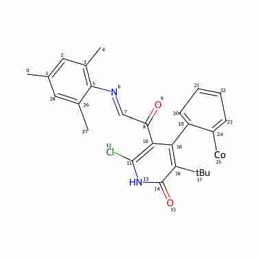 Cc1cc(C)c(N=CC(=O)c2c(Cl)[nH]c(=O)c(C(C)(C)C)c2-c2cccc[c]2[Co])c(C)c1